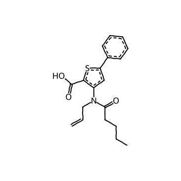 C=CCN(C(=O)CCCC)c1cc(-c2ccccc2)sc1C(=O)O